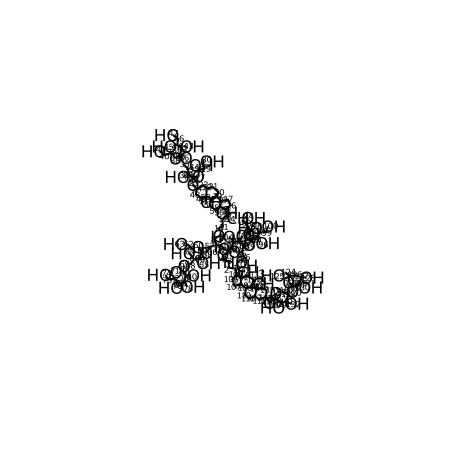 CC(CCCOCC(COCCCC(C)C1CCC2C3CCC4CC(O[C@H](OCCO)[C@@H](O)C(O)CO[C@@H](OCCO)[C@@H](O)C(O)CO)CCC4(C)C3CCC12C)(CO[C@@H](OCCO)[C@H](O)C(O)CO[C@@H]1OC(CO)[C@H](O)C(O)[C@H]1O)CO[C@@H]1OC(CO)[C@@H](O[C@@H](OCCO)[C@@H](O)C(O)CO)C(O)[C@@H]1O)C1CCC2C3CCC4CC(O[C@H]5OC[C@H](O[C@@H]6OC(CO)CC(O)[C@H]6O)C(O)[C@H]5O)CCC4(C)C3CCC12C